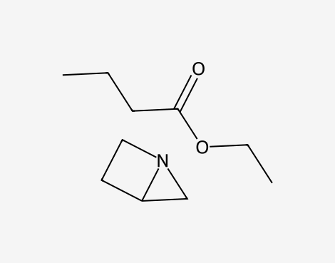 C1CN2CC12.CCCC(=O)OCC